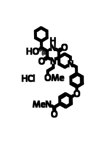 CNC(=O)c1ccc(Oc2ccc(CN3CCC4(CC3)C(=O)N[C@H]([C@H](O)C3CCCCC3)C(=O)N4CCOC)cc2)cc1.Cl